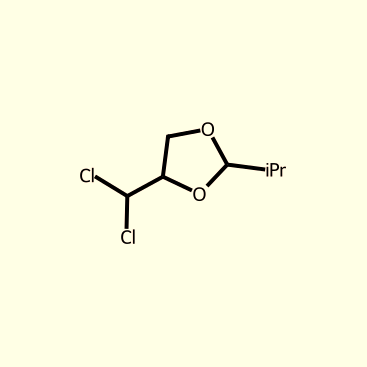 CC(C)C1OCC(C(Cl)Cl)O1